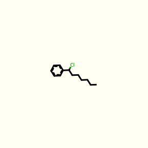 CCCCCCC(Cl)c1ccccc1